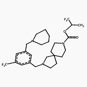 CC(OC(=O)N1CCC2(CCN(Cc3cc(CN4CCCCC4)cc(C(F)(F)F)c3)C2)CC1)C(F)(F)F